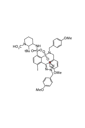 COc1ccc(CN(Cc2ccc(OC)cc2)S(=O)(=O)c2c(S(=O)(=O)NC3CCCN(C(=O)O)C3C(C)(C)C)ccc(I)c2-c2nnn(Cc3ccc(OC)cc3)n2)cc1